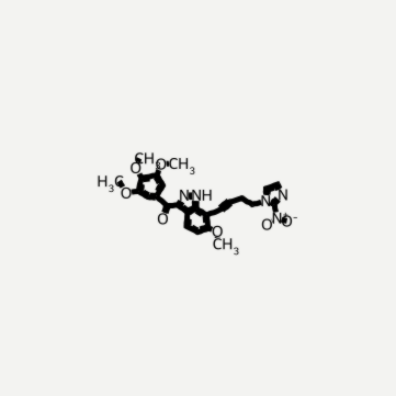 COc1cc(C(=O)c2n[nH]c3c(C#CCCn4ccnc4[N+](=O)[O-])c(OC)ccc23)cc(OC)c1OC